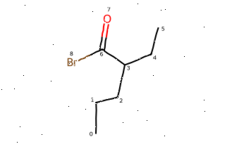 CCCC(CC)C(=O)Br